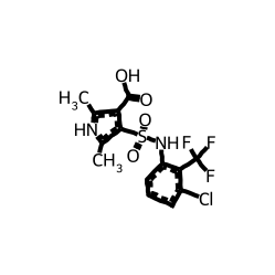 Cc1[nH]c(C)c(S(=O)(=O)Nc2cccc(Cl)c2C(F)(F)F)c1C(=O)O